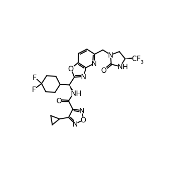 O=C(N[C@H](c1nc2nc(CN3C[C@@H](C(F)(F)F)NC3=O)ccc2o1)C1CCC(F)(F)CC1)c1nonc1C1CC1